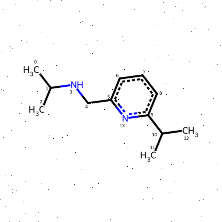 CC(C)NCc1cccc(C(C)C)n1